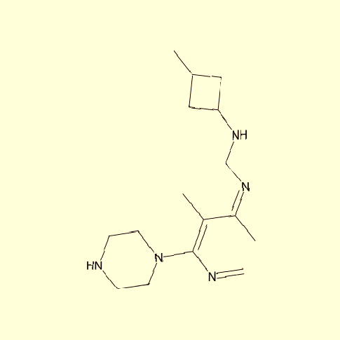 C=N/C(=C(C)\C(C)=N/CNC1CC(C)C1)N1CCNCC1